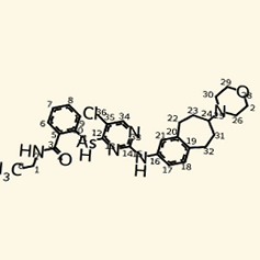 CCNC(=O)c1ccccc1[AsH]c1nc(Nc2ccc3c(c2)CCC(N2CCOCC2)CC3)ncc1Cl